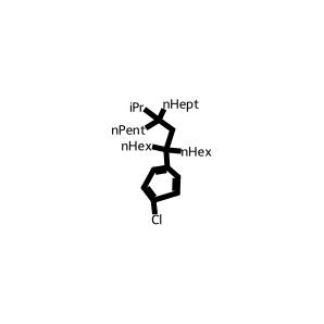 CCCCCCCC(CCCCC)(CC(CCCCCC)(CCCCCC)c1ccc(Cl)cc1)C(C)C